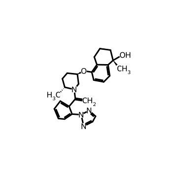 C=C(c1ccccc1-n1nccn1)N1C[C@H](Oc2cccc3c2CCC[C@]3(C)O)CC[C@H]1C